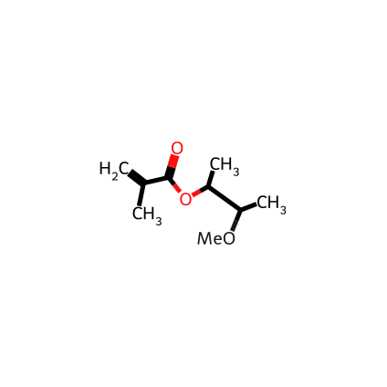 C=C(C)C(=O)OC(C)C(C)OC